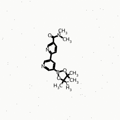 CN(C)C(=O)c1ccc(-c2cncc(B3OC(C)(C)C(C)(C)O3)c2)nc1